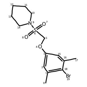 Cc1cc(OCS(=O)(=O)N2CCCCC2)cc(C)c1Br